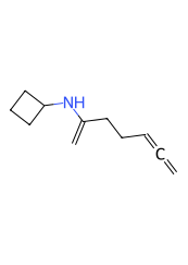 C=C=CCCC(=C)NC1CCC1